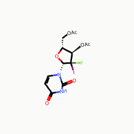 CC(=O)OC[C@H]1O[C@@H](n2ccc(=O)[nH]c2=O)[C@@](F)(I)[C@@H]1OC(C)=O